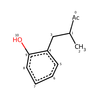 CC(=O)C(C)Cc1ccccc1O